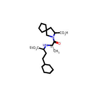 CCOC(=O)C(CCC1CCCCC1)N[C@@H](C)C(=O)N1CC2(CCCC2)CC1C(=O)O